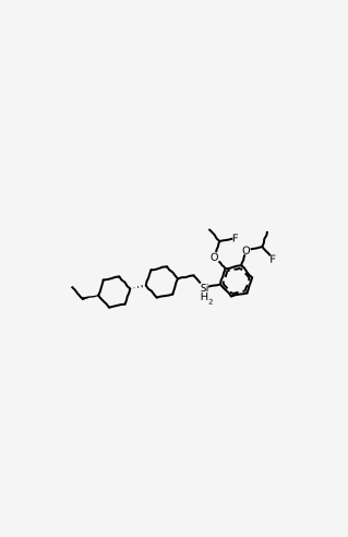 CC[C@H]1CC[C@H](C2CCC(C[SiH2]c3cccc(OC(C)F)c3OC(C)F)CC2)CC1